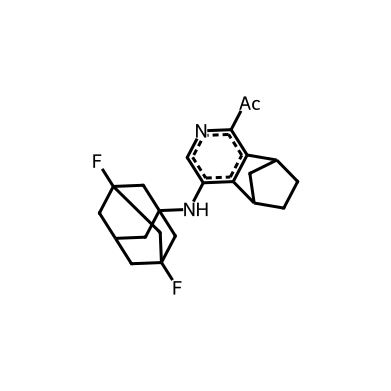 CC(=O)c1ncc(NC23CC4CC(F)(CC(F)(C4)C2)C3)c2c1C1CCC2C1